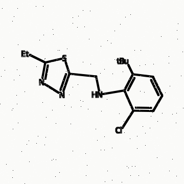 CCc1nnc(CNc2c(Cl)cccc2C(C)(C)C)s1